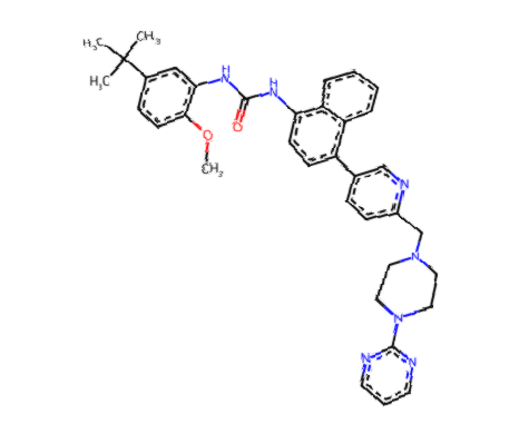 COc1ccc(C(C)(C)C)cc1NC(=O)Nc1ccc(-c2ccc(CN3CCN(c4ncccn4)CC3)nc2)c2ccccc12